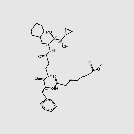 COC(=O)CCCCCC(=O)N[C@@H](Cc1ccccc1)C(=O)NCCC(=O)N[C@@H](CC1CCCCC1)[C@@H](O)[C@@H](O)C1CC1